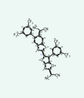 N#CC(C#N)=c1nc2o/c(=c3\nc4cc(-c5cc(C(F)(F)F)cc(C(F)(F)F)c5)c(=C(C#N)C#N)cc4s3)c(-c3cc(C(F)(F)F)cc(C(F)(F)F)c3)c2o1